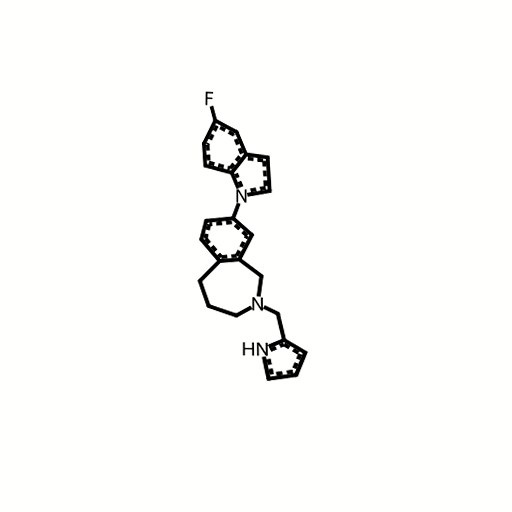 Fc1ccc2c(ccn2-c2ccc3c(c2)CN(Cc2ccc[nH]2)CCC3)c1